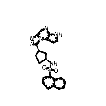 O=S(=O)(N[C@H]1CC[C@@H](c2nnc3cnc4[nH]ccc4n23)C1)c1cccc2ccccc12